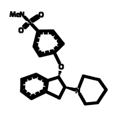 CNS(=O)(=O)c1ccc(O[C@H]2c3ccccc3C[C@@H]2N2CCCCC2)cc1